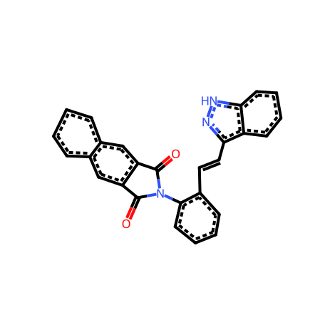 O=C1c2cc3ccccc3cc2C(=O)N1c1ccccc1C=Cc1n[nH]c2ccccc12